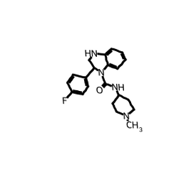 CN1CCC(NC(=O)N2c3ccccc3NCC2c2ccc(F)cc2)CC1